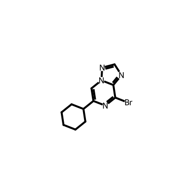 Brc1nc(C2CCCCC2)cn2ncnc12